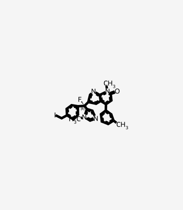 Cc1cccc(-c2cc(=O)n(C)c3ncc([C@](F)(c4ccc(CI)cc4)c4cncn4C)cc23)c1